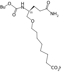 CC(C)(C)OC(=O)N[C@@H](CCC(N)=O)COCCCCCCCC(=O)O